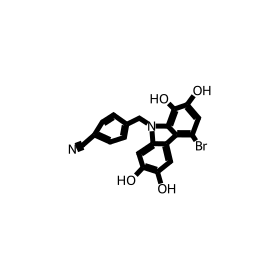 N#Cc1ccc(Cn2c3cc(O)c(O)cc3c3c(Br)cc(O)c(O)c32)cc1